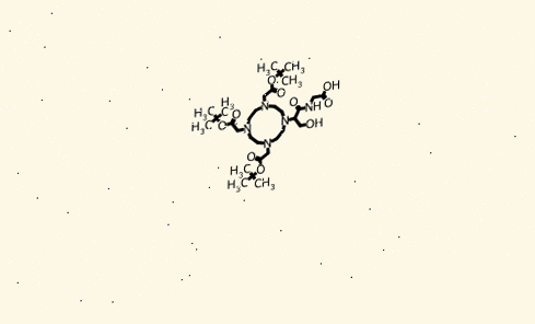 CC(C)(C)OC(=O)CN1CCN(CC(=O)OC(C)(C)C)CCN(C(CO)C(=O)NCC(=O)O)CCN(CC(=O)OC(C)(C)C)CC1